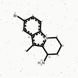 Cc1c2n(c3ccc(Br)cc13)CCCC2N